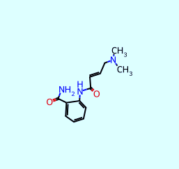 CN(C)CC=CC(=O)Nc1ccccc1C(N)=O